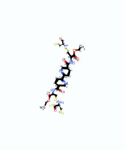 CCOC(=O)C(CSN[C@@H](CS)C(=O)S)NC(=O)c1ccc(-c2ccc(C(=O)NC(CSSN[C@H](C=O)CS)C(=O)OCC)cn2)nc1